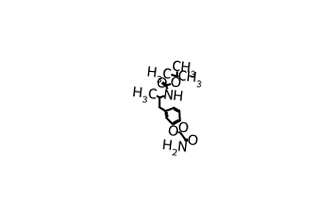 CC(Cc1ccc2c(c1)OC(C(N)=O)O2)NC(=O)OC(C)(C)C